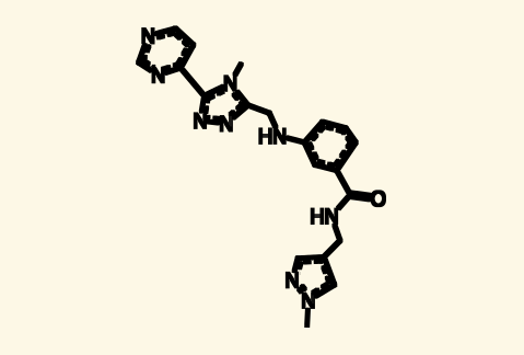 Cn1cc(CNC(=O)c2cccc(NCc3nnc(-c4ccncn4)n3C)c2)cn1